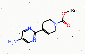 CC(C)(C)OC(=O)N1CC=C(c2ncc(N)cn2)CC1